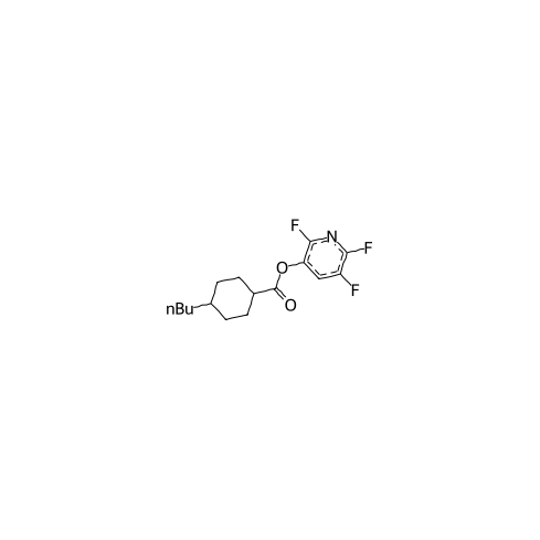 CCCCC1CCC(C(=O)Oc2cc(F)c(F)nc2F)CC1